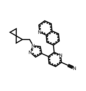 N#Cc1ccc(-c2cnn(CC3CC34CC4)c2)c(-c2ccc3cccnc3c2)n1